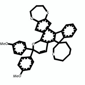 COc1ccc(C2(c3ccc(OC)cc3)C=Cc3c4c(c5cc6c(cc5c3O2)OCCCS6)-c2ccccc2C42CCCCCCC2)cc1